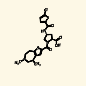 CC1CN(C)CCc2sc(C(=O)N3C[C@H](NC(=O)c4ccc(Cl)s4)C[C@H]3C(=O)O)cc21